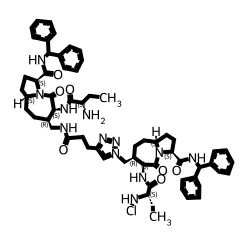 CC[C@H](NCl)C(=O)N[C@@H]1C(=O)N2[C@@H](CC[C@@H]1Cn1cc(CCC(=O)NC[C@H]3CC[C@H]4CC[C@@H](C(=O)NC(c5ccccc5)c5ccccc5)N4C(=O)[C@H]3NC(=O)[C@@H](N)CC)nn1)CC[C@H]2C(=O)NC(c1ccccc1)c1ccccc1